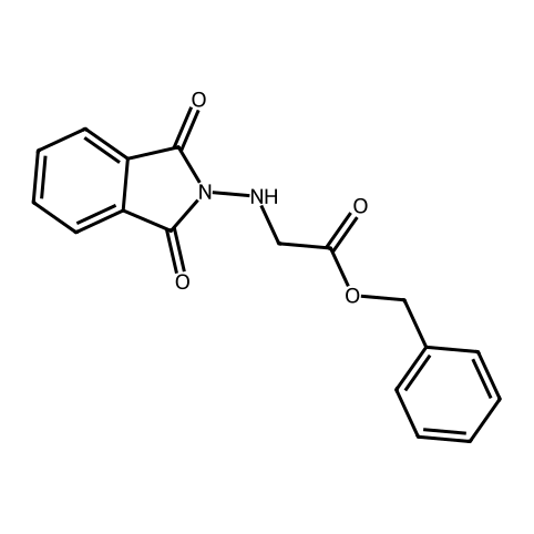 O=C(CNN1C(=O)c2ccccc2C1=O)OCc1ccccc1